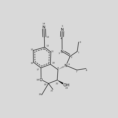 CCC(=NC#N)N(CC)[C@H]1c2cc(C#N)ccc2OC(C)(C)[C@@H]1O